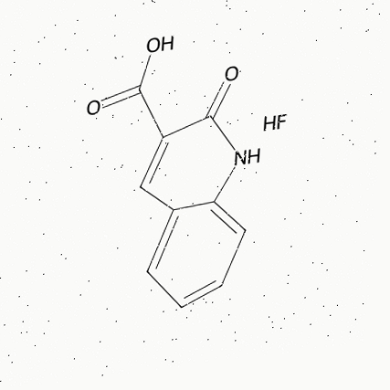 F.O=C(O)c1cc2ccccc2[nH]c1=O